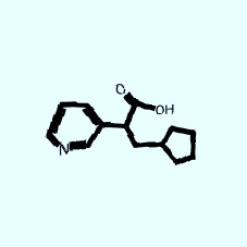 O=C(O)C(CC1CCCC1)c1cccnc1